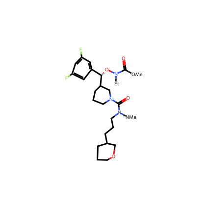 CCN(O[C@@H](c1cc(F)cc(F)c1)C1CCCN(C(=O)N(CCCC2CCCOC2)NC)C1)C(=O)OC